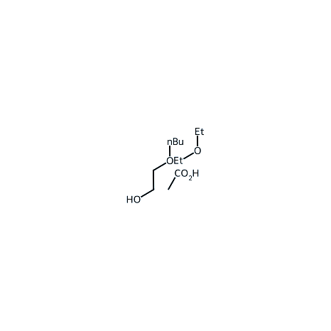 CC(=O)O.CCCCOCCO.CCOCC